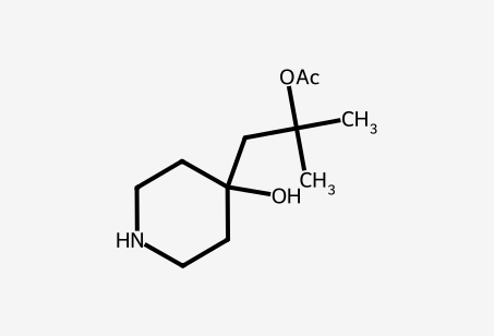 CC(=O)OC(C)(C)CC1(O)CCNCC1